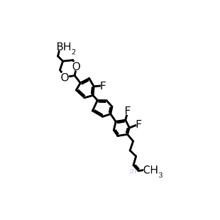 BCC1COC(c2ccc(-c3ccc(-c4ccc(CCC/C=C\C)c(F)c4F)cc3)c(F)c2)OC1